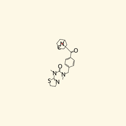 CN(Cc1ccc(C(=O)N2CC3CCC(CC3)C2)cc1)C(=O)N(C)C1=NCCS1